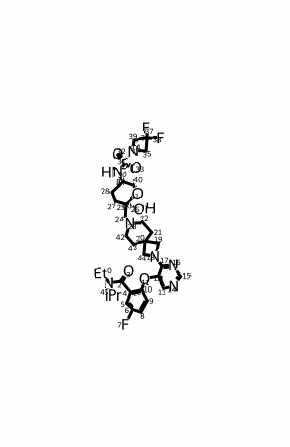 CCN(C(=O)c1cc(F)ccc1Oc1cncnc1N1CC2(CCN(C[C@@]3(O)CC[C@@H](NS(=O)(=O)N4CC(F)(F)C4)CO3)CC2)C1)C(C)C